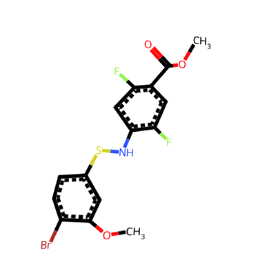 COC(=O)c1cc(F)c(NSc2ccc(Br)c(OC)c2)cc1F